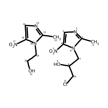 Cc1ncc([N+](=O)[O-])n1CC(O)CCl.Cc1ncc([N+](=O)[O-])n1CCO